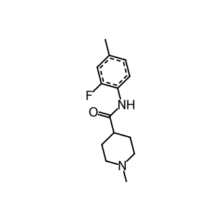 Cc1ccc(NC(=O)C2CCN(C)CC2)c(F)c1